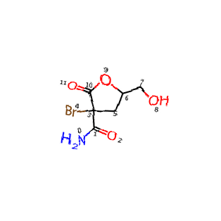 NC(=O)C1(Br)CC(CO)OC1=O